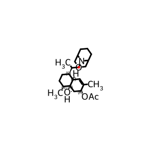 CC(=O)O[C@@H]1[CH][C@@]2(O)[C@H](C)CC[C@@H](C(C)CN3C4CCCC3COC4)[C@H]2C=C1C